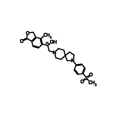 Cc1c([C@@H](O)CN2CCC3(CC2)CCN(c2ccc(S(C)(=O)=O)cc2)C3)ccc2c1COC2=O